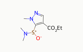 CCOC(=O)c1cnn(C)c1[S+]([O-])N(C)C